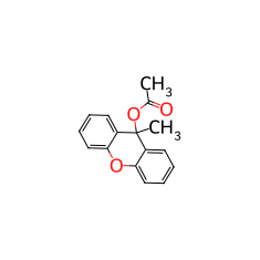 CC(=O)OC1(C)c2ccccc2Oc2ccccc21